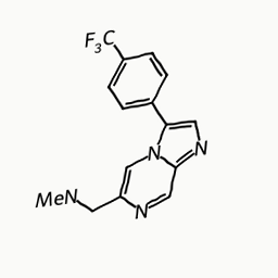 CNCc1cn2c(-c3ccc(C(F)(F)F)cc3)cnc2cn1